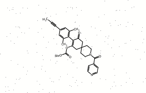 CC#Cc1cc(C)c(C2=C(OC(=O)OC)CC3(CCN(C(=O)c4ccncc4)CC3)CC2=O)c(C)c1